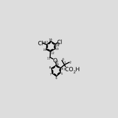 CC(C)(C(=O)O)c1ccccc1OCc1cc(Cl)cc(Cl)c1